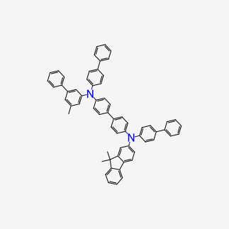 Cc1cc(-c2ccccc2)cc(N(c2ccc(-c3ccccc3)cc2)c2ccc(-c3ccc(N(c4ccc(-c5ccccc5)cc4)c4ccc5c(c4)C(C)(C)c4ccccc4-5)cc3)cc2)c1